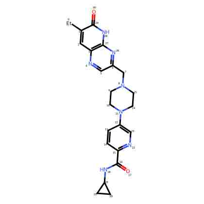 CCc1cc2ncc(CN3CCN(c4ccc(C(=O)NC5CC5)nc4)CC3)nc2[nH]c1=O